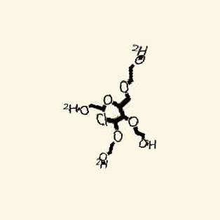 [2H]OCCOCC(OCCO[2H])C(OCCO[2H])C(Cl)OCCO[2H]